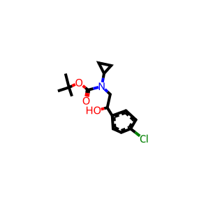 CC(C)(C)OC(=O)N(CC(O)c1ccc(Cl)cc1)C1CC1